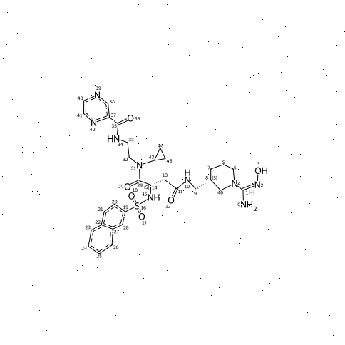 N/C(=N/O)N1CCC[C@@H](CNC(=O)C[C@H](NS(=O)(=O)c2ccc3ccccc3c2)C(=O)N(CCNC(=O)c2cnccn2)C2CC2)C1